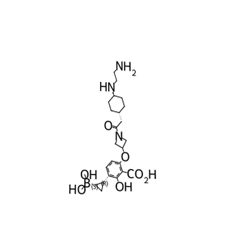 NCCN[C@H]1CC[C@H](CC(=O)N2CC(Oc3ccc([C@@H]4C[C@@H]4B(O)O)c(O)c3C(=O)O)C2)CC1